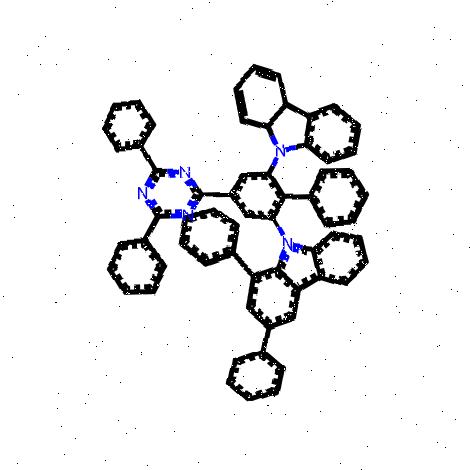 C1=CC2c3ccccc3N(c3cc(-c4nc(-c5ccccc5)nc(-c5ccccc5)n4)cc(-n4c5ccccc5c5cc(-c6ccccc6)cc(-c6ccccc6)c54)c3-c3ccccc3)C2C=C1